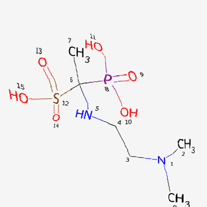 CN(C)CCNC(C)(P(=O)(O)O)S(=O)(=O)O